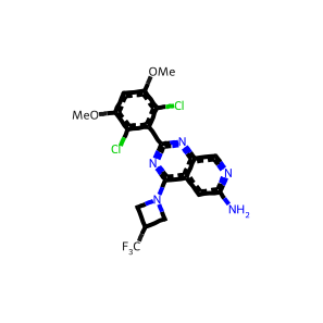 COc1cc(OC)c(Cl)c(-c2nc(N3CC(C(F)(F)F)C3)c3cc(N)ncc3n2)c1Cl